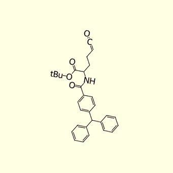 CC(C)(C)OC(=O)C(CCC=C=O)NC(=O)c1ccc(C(c2ccccc2)c2ccccc2)cc1